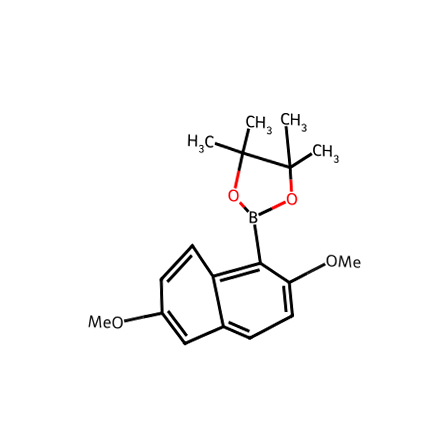 COc1ccc2c(B3OC(C)(C)C(C)(C)O3)c(OC)ccc2c1